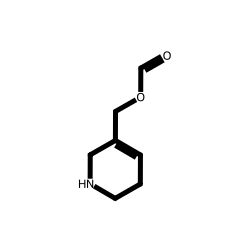 O=COCC1=CCCNC1